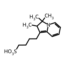 CC1C(CCCCS(=O)(=O)O)=C2C=CC=CN2C1(C)C